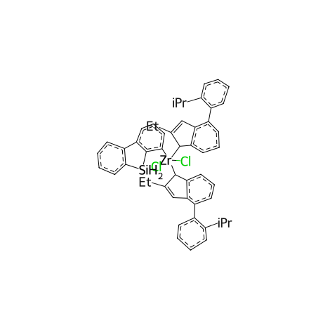 CCC1=Cc2c(-c3ccccc3C(C)C)cccc2[CH]1[Zr]([Cl])([Cl])([c]1cccc2c1[SiH2]c1ccccc1-2)[CH]1C(CC)=Cc2c(-c3ccccc3C(C)C)cccc21